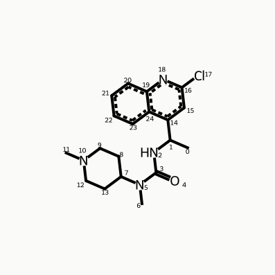 CC(NC(=O)N(C)C1CCN(C)CC1)c1cc(Cl)nc2ccccc12